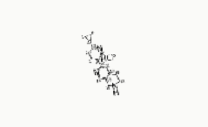 Cl.c1cc(C2CC2)ncc1-c1cc2c(cn1)CNCC2